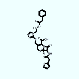 O=C(Cc1cccs1)NC1C(=O)N2C(C(=O)O)=C(CSc3nncn3CNOC(=O)Cc3ccccc3)CS[C@@H]12